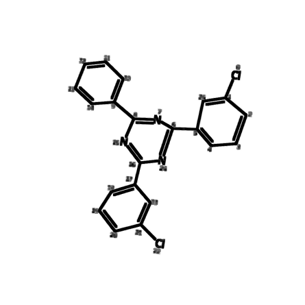 Clc1cccc(-c2nc(-c3ccccc3)nc(-c3cccc(Cl)c3)n2)c1